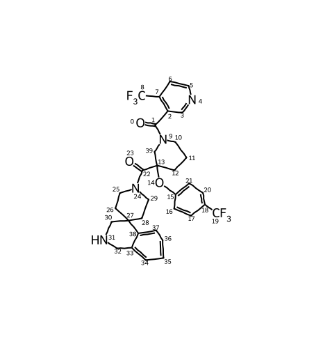 O=C(c1cnccc1C(F)(F)F)N1CCCC(Oc2ccc(C(F)(F)F)cc2)(C(=O)N2CCC3(CC2)CNCc2ccccc23)C1